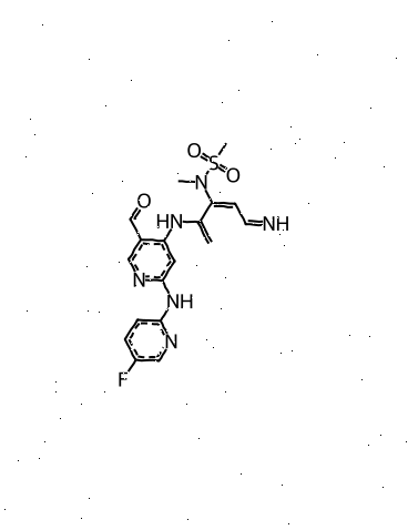 C=C(Nc1cc(Nc2ccc(F)cn2)ncc1C=O)/C(=C\C=N)N(C)S(C)(=O)=O